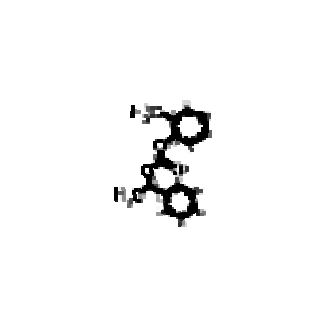 Cc1ccccc1OC(=O)OC(C)c1ccccc1